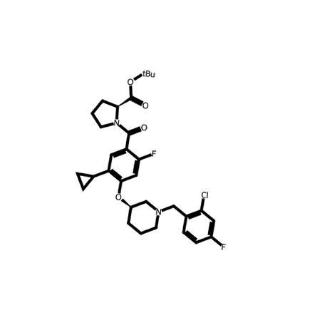 CC(C)(C)OC(=O)[C@@H]1CCCN1C(=O)c1cc(C2CC2)c(O[C@@H]2CCCN(Cc3ccc(F)cc3Cl)C2)cc1F